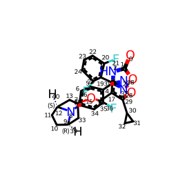 O=c1[nH]c(-c2ccc(N3[C@@H]4CC[C@H]3C[C@@H](OCc3c(-c5c(F)cccc5F)noc3C3CC3)C4)cc2F)no1